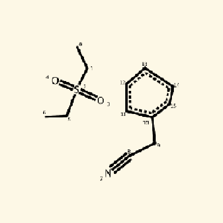 CCS(=O)(=O)CC.N#CCc1ccccc1